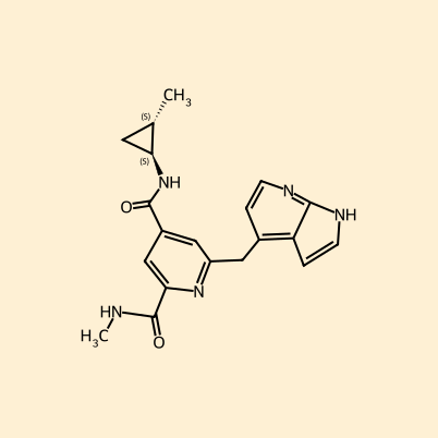 CNC(=O)c1cc(C(=O)N[C@H]2C[C@@H]2C)cc(Cc2ccnc3[nH]ccc23)n1